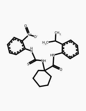 CC(C)c1ccccc1NC(=O)C1(NC(=S)Nc2ccccc2[N+](=O)[O-])CCCCC1